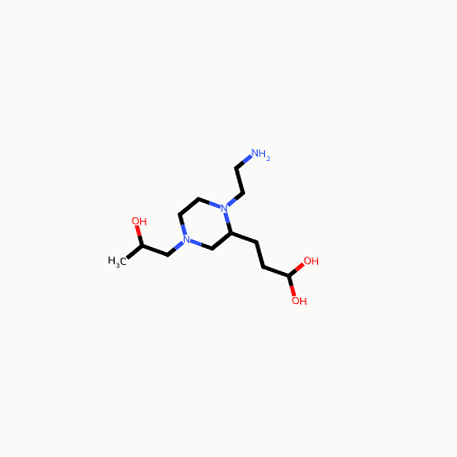 CC(O)CN1CCN(CCN)C(CCC(O)O)C1